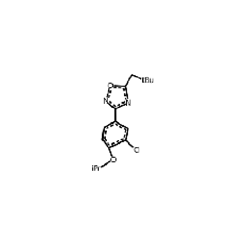 CC(C)Oc1ccc(-c2noc(CC(C)(C)C)n2)cc1Cl